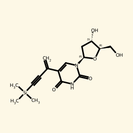 C=C(C#C[Si](C)(C)C)c1cn([C@H]2C[C@H](O)[C@@H](CO)O2)c(=O)[nH]c1=O